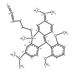 COc1cccc(OC)c1C1=C2C=CC(=[N+](C)C)C=C2[Si](C)(CCCN=[N+]=[N-])c2cc(N(C)C)ccc21